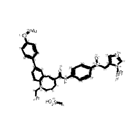 CCCCOc1ccc(-c2ccc3c(c2)C=C(C(=O)Nc2ccc([S+]([O-])Cc4cncn4CCC)cc2)CCCN3CC(C)C)cc1.CS(=O)(=O)O